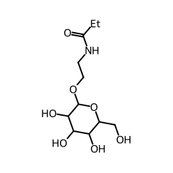 CCC(=O)NCCOC1OC(CO)C(O)C(O)C1O